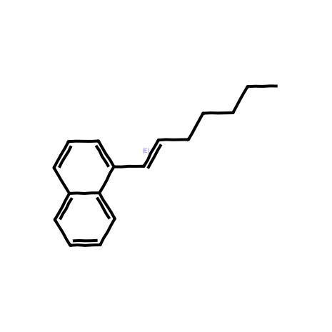 CCCCC/C=C/c1cccc2ccccc12